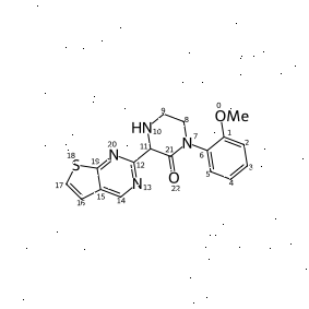 COc1ccccc1N1CCNC(c2ncc3ccsc3n2)C1=O